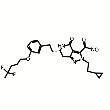 CC(F)(F)CCCOc1cccc(CC[C@H]2Cc3nn(CCC4CC4)c(C(=O)N=O)c3C(=O)N2)c1